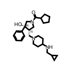 O=C(C1CCCC1)N1C[C@H](CN2CCC(NCC3CC3)CC2)[C@@](O)(c2ccccc2)C1